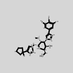 CO[C@@H]1[C@@H](n2cc(-c3cc(F)c(F)c(F)c3)nn2)[C@@H](O)[C@@H](CO)O[C@@H]1Cn1cc(C2(C)CCCC2)nn1